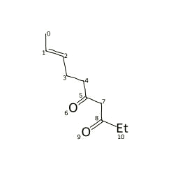 CC=CCCC(=O)CC(=O)CC